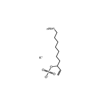 C=CC(CCCCCCCCCCCCCCCC)OS(=O)(=O)[O-].[K+]